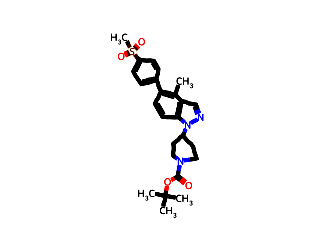 Cc1c(-c2ccc(S(C)(=O)=O)cc2)ccc2c1cnn2C1CCN(C(=O)OC(C)(C)C)CC1